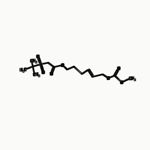 COC(=O)OC/C=C/CCCOC(=O)CS(=O)(=O)C(C)(C)C